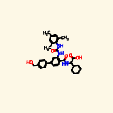 Cc1cc(C)c(NC(=O)Nc2cc(-c3ccc(CO)cc3)ccc2C(=O)NC(C(=O)O)C2CCCCC2)c(C)c1